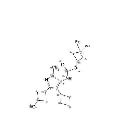 Cn1nc(C2CC(O)C2)c(C2CCC2)c1NC(=O)OC1CC(F)(F)C1